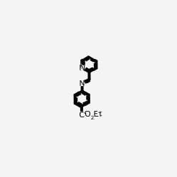 CCOC(=O)c1ccc(N=Cc2ccccn2)cc1